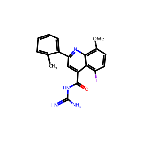 COc1ccc(I)c2c(C(=O)NC(=N)N)cc(-c3ccccc3C)nc12